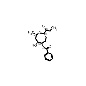 CC[C@H](Br)[C@@H]1CC[C@@H](OC(=O)c2ccccc2)[C@@H](O)C[C@@H](C)O1